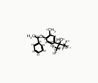 Cc1cc(C(O)(C(F)(F)F)C(F)(F)F)ccc1OC(C)c1ccccc1